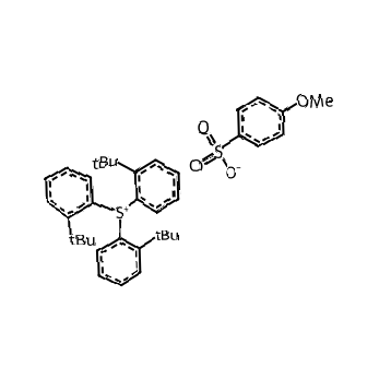 CC(C)(C)c1ccccc1[S+](c1ccccc1C(C)(C)C)c1ccccc1C(C)(C)C.COc1ccc(S(=O)(=O)[O-])cc1